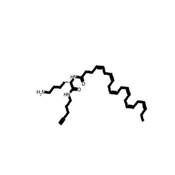 C#CCCCNC(=O)[C@H](CCCCN)NC(=O)CC/C=C\C/C=C\C/C=C\C/C=C\C/C=C\C/C=C\CC